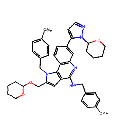 COc1ccc(CNc2nc3cc(-c4ccnn4C4CCCCO4)ccc3c3c2cc(COC2CCCCO2)n3Cc2ccc(OC)cc2)cc1